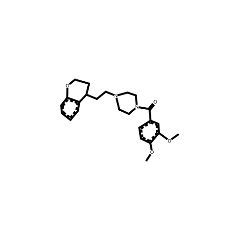 COc1ccc(C(=O)N2CCN(CCC3CCOc4ccccc43)CC2)cc1OC